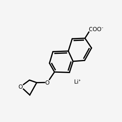 O=C([O-])c1ccc2cc(OC3COC3)ccc2c1.[Li+]